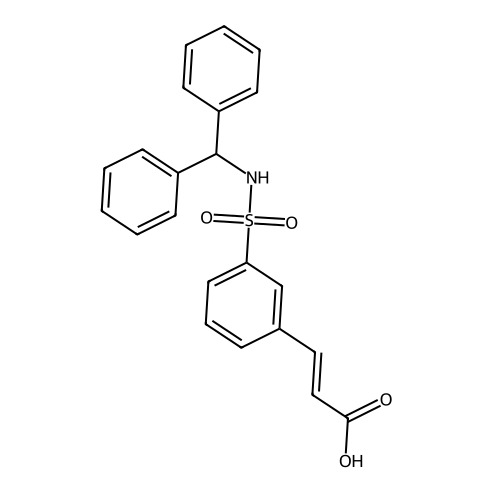 O=C(O)C=Cc1cccc(S(=O)(=O)NC(c2ccccc2)c2ccccc2)c1